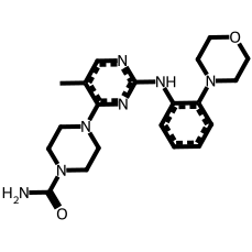 Cc1cnc(Nc2ccccc2N2CCOCC2)nc1N1CCN(C(N)=O)CC1